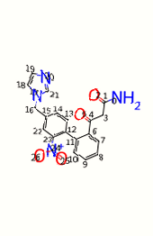 NC(=O)CC(=O)c1ccccc1-c1ccc(Cn2ccnc2)cc1[N+](=O)[O-]